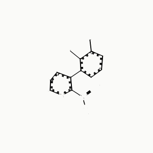 Cc1cccc(-c2cccnc2[N+](=O)[O-])c1C